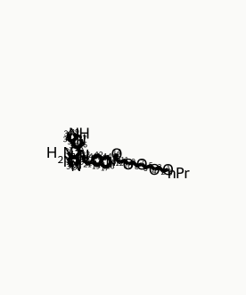 CCCOCCOCCOCCOCCC(=O)N1CCc2cc(Cn3nc(-c4cnc5[nH]ccc5c4)c4c(N)ncnc43)ccc2C1